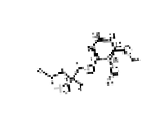 CCCC(C)(O)COc1cccc(OC)c1OC